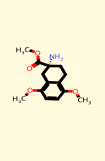 COC(=O)[C@@]1(N)CCc2c(OC)ccc(OC)c2C1